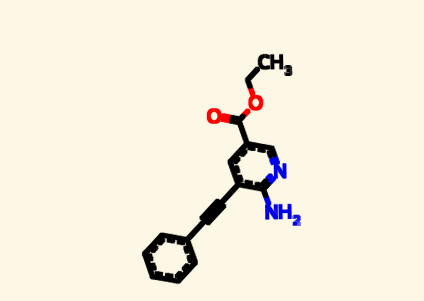 CCOC(=O)c1cnc(N)c(C#Cc2ccccc2)c1